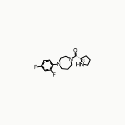 O=C([C@@H]1CCCN1)N1CCCN(c2ccc(F)cc2F)CC1